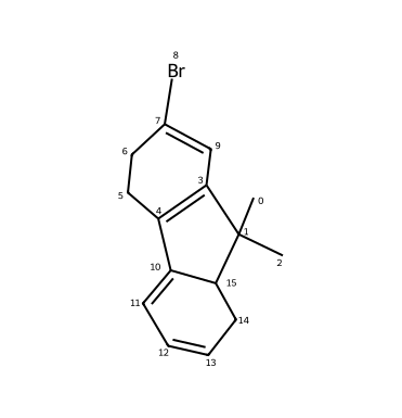 CC1(C)C2=C(CCC(Br)=C2)C2=CC=CCC21